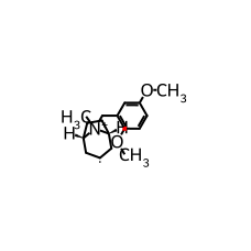 COc1ccc(OC)c(C[N+]2(C)[C@@H]3C[CH]C[C@H]2CC3)c1